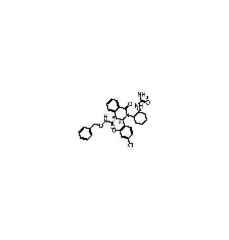 NC(=O)N[C@H]1CCCCC1N1C(=O)c2ccccc2[C@@H](C(=O)NOCc2ccccc2)[C@@H]1c1ccc(Cl)cc1Cl